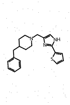 c1ccc(CC2CCN(Cc3c[nH]c(-c4cccs4)n3)CC2)cc1